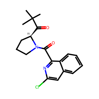 CC(C)(C)C(=O)[C@@H]1CCCN1C(=O)c1nc(Cl)cc2ccccc12